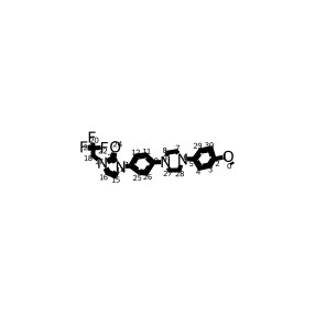 COc1ccc(N2CCN(c3ccc(-n4ccn(CC(F)(F)F)c4=O)cc3)CC2)cc1